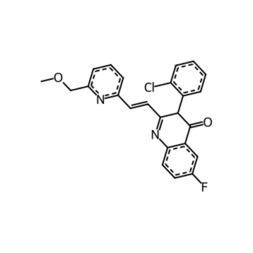 COCc1cccc(/C=C/C2=Nc3ccc(F)cc3C(=O)C2c2ccccc2Cl)n1